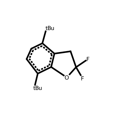 CC(C)(C)c1ccc(C(C)(C)C)c2c1CC(F)(F)O2